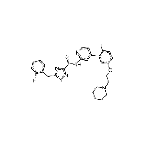 Cc1ccc(OCCN2CCCCC2)cc1-c1ccnc(NC(=O)c2nnc(Cc3ccccc3F)[nH]2)c1